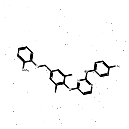 COc1ccccc1OCc1cc(C)c(Oc2ccnc(Nc3ccc(C#N)cc3)n2)c(C)c1